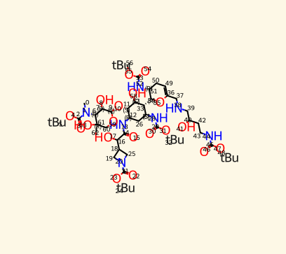 CN(C(=O)OC(C)(C)C)[C@@H]1[C@@H](O)[C@@H](O[C@H]2[C@H](NC(=O)C(O)C3CN(C(=O)OC(C)(C)C)C3)C[C@H](NC(=O)OC(C)(C)C)C([C@H]3OC(CNCC(O)CCNC(=O)OC(C)(C)C)=CC[C@H]3NC(=O)OC(C)(C)C)[C@@H]2O)OC[C@]1(C)O